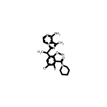 Cc1nc(C(C)c2cc(Cl)c(F)c(C(=O)N3CCCCC3)c2OC(C)C)n2ccnc(N)c12